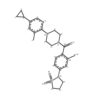 Cc1cc(C2CC2)cnc1N1CCN(C(=O)c2ccc(N3CCCS3(=O)=O)cc2F)CC1